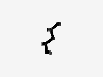 NNONS